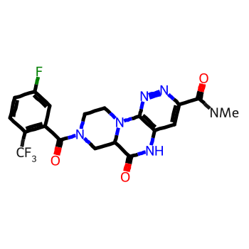 CNC(=O)c1cc2c(nn1)N1CCN(C(=O)c3cc(F)ccc3C(F)(F)F)CC1C(=O)N2